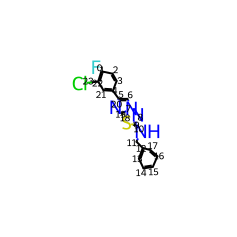 Fc1ccc(-c2cn3nc(NCc4ccccc4)sc3n2)cc1Cl